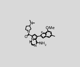 COc1cc(C)cc2cc(-c3cc(C(=O)N4CCC(N(C)C)C4)n4ncnc(N)c34)sc12